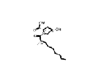 C=CCCCCC[C@H](C)C(=O)N1C[C@@H](O)C[C@H]1C(=O)O